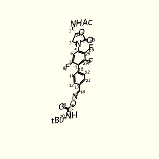 CC(=O)NC[C@H]1CN(c2cc(F)c(-c3ccc(/C=N/OC(=O)NC(C)(C)C)cc3)c(F)c2F)C(=O)O1